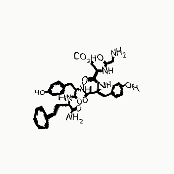 NCC(=O)NC(CC(=O)O)C(=O)NC(Cc1ccc(O)cc1)C(=O)NC(Cc1ccc(O)cc1)C(=O)NC(CCc1ccccc1)C(N)=O